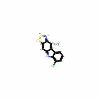 Cl.Clc1cccc2c1nc1cc3ssnc3cc12